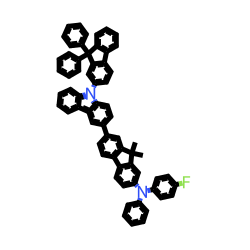 CC1(C)c2cc(-c3ccc4c(c3)c3ccccc3n4-c3ccc4c(c3)C(c3ccccc3)(c3ccccc3)c3ccccc3-4)ccc2-c2ccc(N(c3ccccc3)c3ccc(F)cc3)cc21